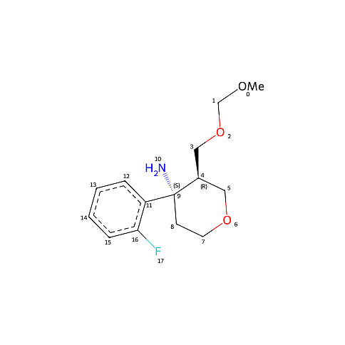 COCOC[C@H]1COCC[C@@]1(N)c1ccccc1F